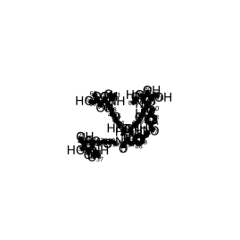 COC1CCC(C(=O)NCc2ccc(CC(C(=O)NCCOCCOC3OC(CO)C(O)C(O)C3NC(C)=O)N(CC(=O)NCCOCCOC(NC(C)=O)C(O)C(O)C(CO)OC)CC(=O)NCCOCCOC3OC(CO)C(O)C(O)C3NC(C)=O)cc2)CC1